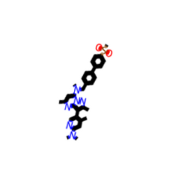 Cc1cc(N(C)Cc2ccc(-c3ccc(S(C)(=O)=O)cc3)cc2)n2nc(C)c(-c3cnc(N(C)C)cc3C)c2n1